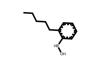 CCCCCc1ccccc1BO